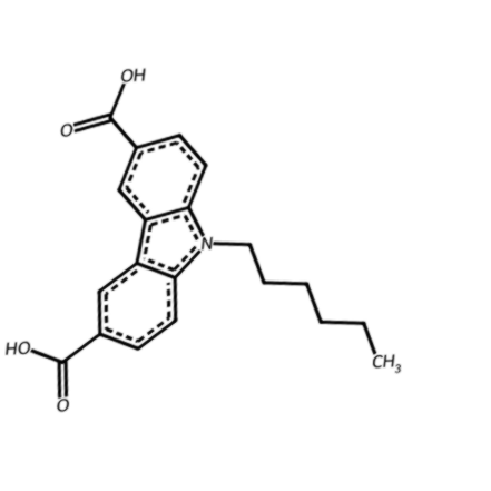 CCCCCCn1c2ccc(C(=O)O)cc2c2cc(C(=O)O)ccc21